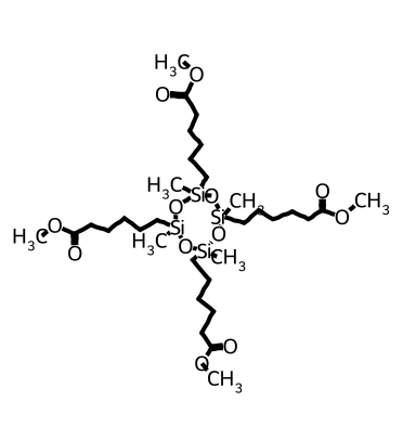 COC(=O)CCCCC[Si]1(C)O[Si](C)(CCCCCC(=O)OC)O[Si](C)(CCCCCC(=O)OC)O[Si](C)(CCCCCC(=O)OC)O1